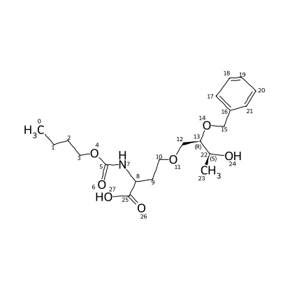 CCCCOC(=O)NC(CCOC[C@@H](OCc1ccccc1)[C@H](C)O)C(=O)O